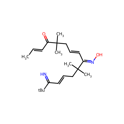 C/C=C/C(=O)C(C)(C)C/C=C/C(=N\O)C(C)(C)C/C=C/C(=N)C(C)(C)C